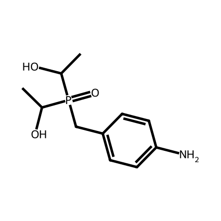 CC(O)P(=O)(Cc1ccc(N)cc1)C(C)O